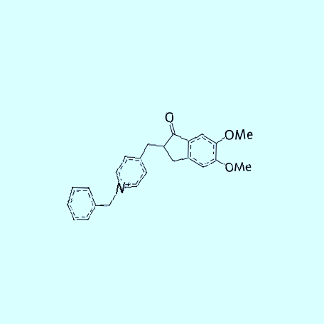 COc1cc2c(cc1OC)C(=O)C(Cc1cc[n+](Cc3ccccc3)cc1)C2